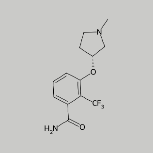 CN1CC[C@@H](Oc2cccc(C(N)=O)c2C(F)(F)F)C1